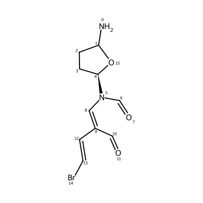 NC1CC[C@H](N(C=O)/C=C(C=O)/C=C/Br)O1